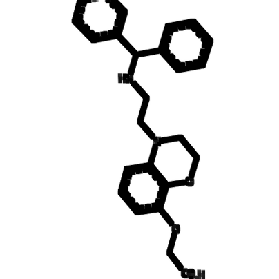 O=C(O)COc1cccc2c1OCCN2CCNC(c1ccccc1)c1ccccc1